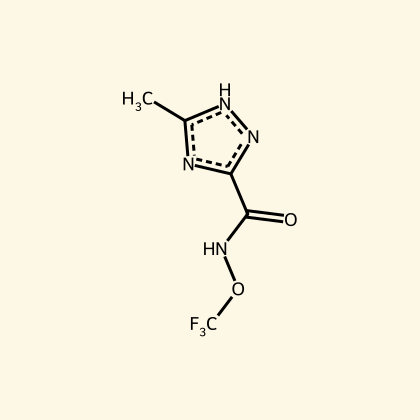 Cc1nc(C(=O)NOC(F)(F)F)n[nH]1